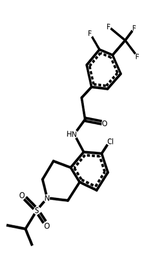 CC(C)S(=O)(=O)N1CCc2c(ccc(Cl)c2NC(=O)Cc2ccc(C(F)(F)F)c(F)c2)C1